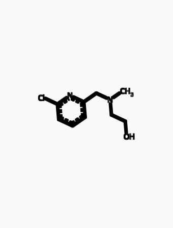 CN(CCO)Cc1cccc(Cl)n1